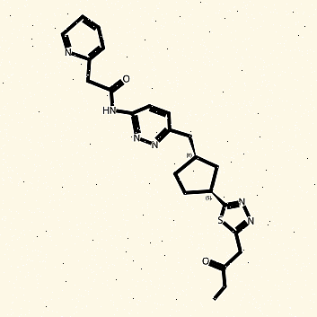 CCC(=O)Cc1nnc([C@H]2CC[C@@H](Cc3ccc(NC(=O)Cc4ccccn4)nn3)C2)s1